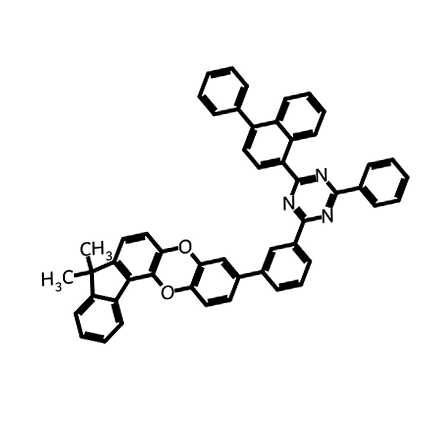 CC1(C)c2ccccc2-c2c1ccc1c2Oc2ccc(-c3cccc(-c4nc(-c5ccccc5)nc(-c5ccc(-c6ccccc6)c6ccccc56)n4)c3)cc2O1